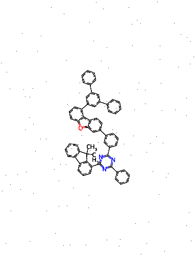 CC1(C)c2ccccc2-c2cccc(-c3nc(-c4ccccc4)nc(-c4cccc(-c5ccc6c(c5)oc5cccc(-c7cc(-c8ccccc8)cc(-c8ccccc8)c7)c56)c4)n3)c21